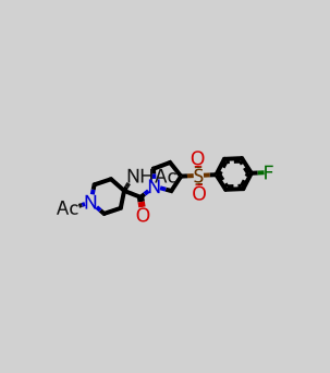 CC(=O)NC1(C(=O)N2CCC(S(=O)(=O)c3ccc(F)cc3)C2)CCN(C(C)=O)CC1